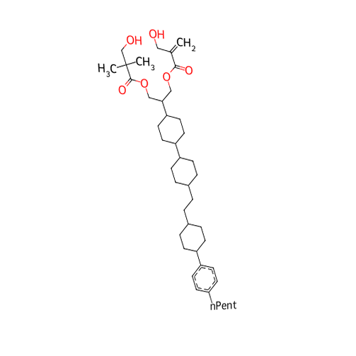 C=C(CO)C(=O)OCC(COC(=O)C(C)(C)CO)C1CCC(C2CCC(CCC3CCC(c4ccc(CCCCC)cc4)CC3)CC2)CC1